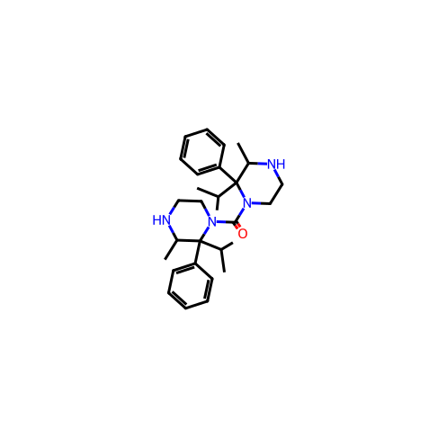 CC(C)C1(c2ccccc2)C(C)NCCN1C(=O)N1CCNC(C)C1(c1ccccc1)C(C)C